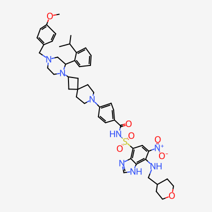 COc1ccc(CN2CCN(C3CC4(CCN(c5ccc(C(=O)NS(=O)(=O)c6cc([N+](=O)[O-])c(NCC7CCOCC7)c7[nH]cnc67)cc5)CC4)C3)C(c3ccccc3C(C)C)C2)cc1